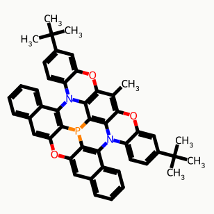 Cc1c2oc3cc(C(C)(C)C)ccc3n3c4c5ccccc5cc5oc6cc7ccccc7c7c6p(c54)c(c23)c2c1oc1cc(C(C)(C)C)ccc1n72